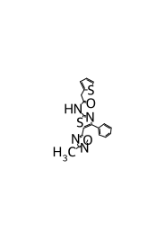 Cc1noc(-c2sc(NC(=O)Cc3cccs3)nc2-c2ccccc2)n1